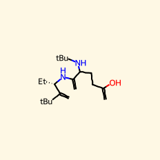 C=C(O)CCC(NC(C)(C)C)C(=C)N[C@@H](CC)C(=C)C(C)(C)C